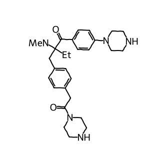 CCC(Cc1ccc(CC(=O)N2CCNCC2)cc1)(NC)C(=O)c1ccc(N2CCNCC2)cc1